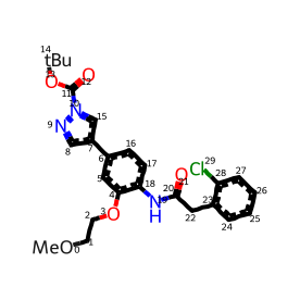 COCCOc1cc(-c2cnn(C(=O)OC(C)(C)C)c2)ccc1NC(=O)Cc1ccccc1Cl